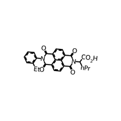 CCCC(C(=O)O)N1C(=O)c2ccc3c4c(ccc(c24)C1=O)C(=O)N(c1ccccc1CC)C3=O